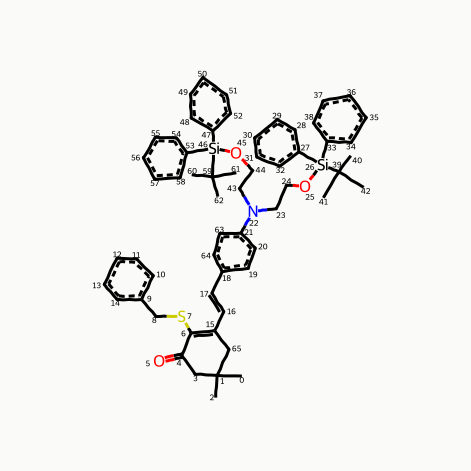 CC1(C)CC(=O)C(SCc2ccccc2)=C(/C=C/c2ccc(N(CCO[Si](c3ccccc3)(c3ccccc3)C(C)(C)C)CCO[Si](c3ccccc3)(c3ccccc3)C(C)(C)C)cc2)C1